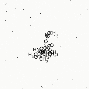 CCOC(=O)C(C)(C)Cc1[nH]c2ccc(OC(Cc3ccc(-c4ccc(OC)nn4)cc3)C3Cc4ccccc4N3C(=O)OC(C)(C)C)cc2c1SC(C)(C)C